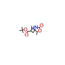 CC1OC(=O)NC12CC(C(=O)OC(C)(C)C)C2